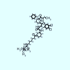 CCNC(=O)[C@]1(Cc2ccccc2)CCCN(C(=O)[C@H](Cc2ccc(Cl)c(Cl)c2)NC(=O)N[C@@H]2CCCN(C(=O)CCCCCNC(=O)OC(C)(C)C)C2)C1